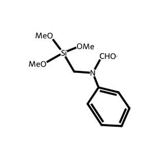 CO[Si](CN([C]=O)c1ccccc1)(OC)OC